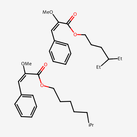 CCC(CC)CCCOC(=O)C(=Cc1ccccc1)OC.COC(=Cc1ccccc1)C(=O)OCCCCCC(C)C